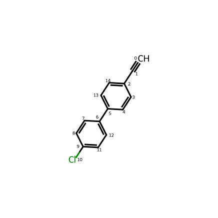 C#Cc1ccc(-c2ccc(Cl)cc2)cc1